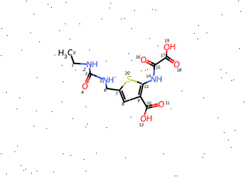 CCNC(=O)NCc1cc(C(=O)O)c(NC(=O)C(=O)O)s1